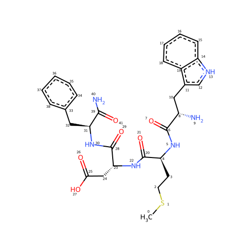 CSCC[C@H](NC(=O)[C@@H](N)Cc1c[nH]c2ccccc12)C(=O)N[C@H](CC(=O)O)C(=O)N[C@@H](Cc1ccccc1)C(N)=O